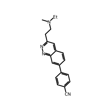 CCN(C)CCc1cc2ccc(-c3ccc(C#N)cc3)cc2nn1